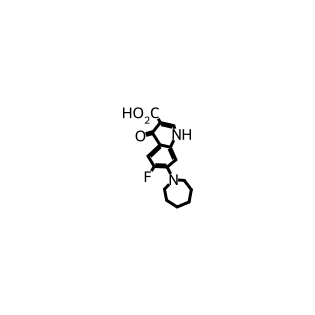 O=C(O)c1c[nH]c2cc(N3CCCCCC3)c(F)cc2c1=O